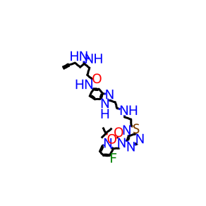 C#CCCC1(CCC(=O)Nc2ccc3[nH]c(CCNCCc4nc5c(N(Cc6ncccc6F)C(=O)OC(C)(C)C)ncnc5s4)nc3c2)NN1